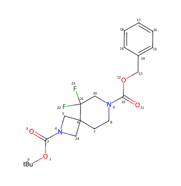 CC(C)(C)OC(=O)N1CC2(CCN(C(=O)OCc3ccccc3)CC2(F)F)C1